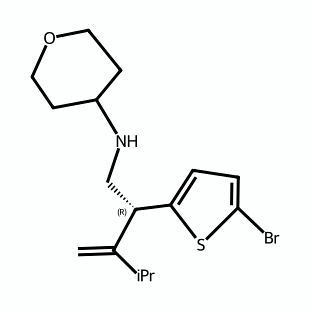 C=C(C(C)C)[C@H](CNC1CCOCC1)c1ccc(Br)s1